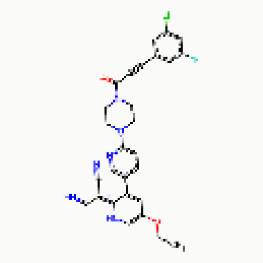 CCOC1=CN/C(=C(/C#N)C=N)C(c2ccc(N3CCN(C(=O)C#Cc4cc(F)cc(Cl)c4)CC3)nc2)=C1